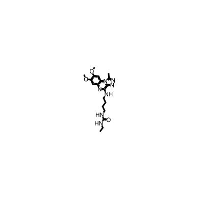 CCNC(=O)NCCCCNc1nc2cc(OC)c(OC)cc2n2c(C)nnc12